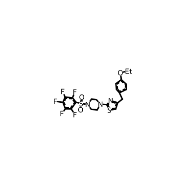 CCOc1ccc(Cc2csc(N3CCN(S(=O)(=O)c4c(F)c(F)c(F)c(F)c4F)CC3)n2)cc1